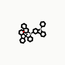 CC1(c2ccccc2N(c2ccc3ccccc3c2)c2ccc3c(c2)c2ccccc2n3-c2ccccc2)c2ccccc2-c2ccccc21